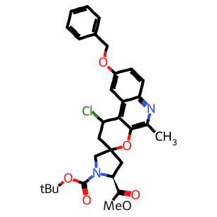 COC(=O)[C@@H]1CC2(CC(Cl)c3c(c(C)nc4ccc(OCc5ccccc5)cc34)O2)CN1C(=O)OC(C)(C)C